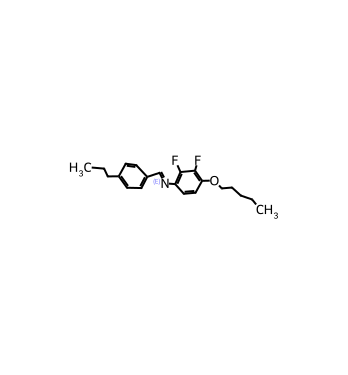 CCCCCOc1ccc(/N=C/c2ccc(CCC)cc2)c(F)c1F